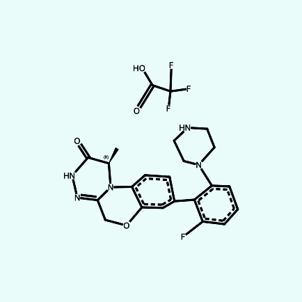 C[C@@H]1C(=O)NN=C2COc3cc(-c4c(F)cccc4N4CCNCC4)ccc3N21.O=C(O)C(F)(F)F